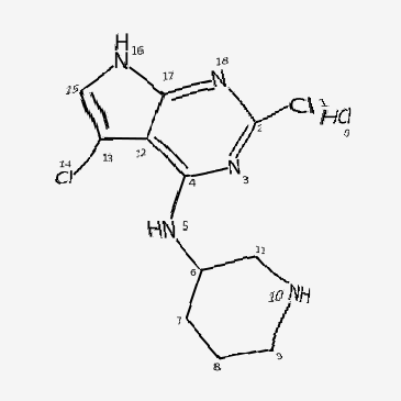 Cl.Clc1nc(NC2CCCNC2)c2c(Cl)c[nH]c2n1